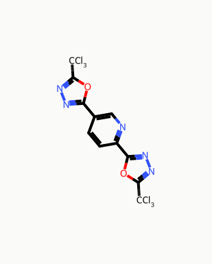 ClC(Cl)(Cl)c1nnc(-c2ccc(-c3nnc(C(Cl)(Cl)Cl)o3)nc2)o1